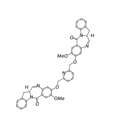 COc1cc2c(cc1OCc1cccc(COc3cc4c(cc3OC)C(=O)N3c5ccccc5C[C@H]3C=N4)n1)N=C[C@@H]1Cc3ccccc3N1C2=O